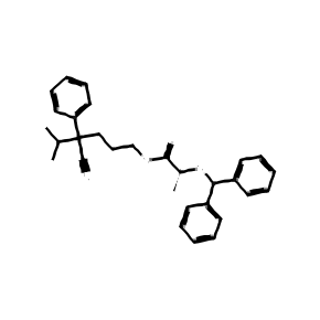 CC(C)C(C#N)(CCCNC(=O)[C@H](C)NC(c1ccccc1)c1ccccc1)c1ccccc1